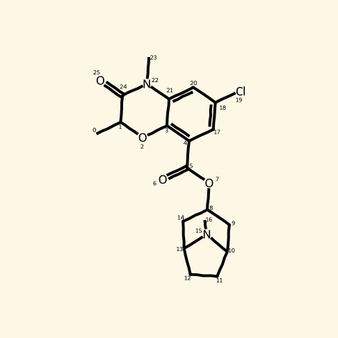 CC1Oc2c(C(=O)OC3CC4CCC(C3)N4C)cc(Cl)cc2N(C)C1=O